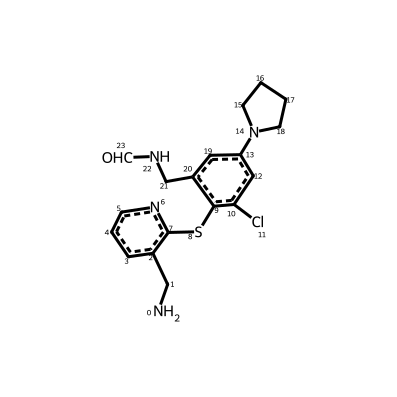 NCc1cccnc1Sc1c(Cl)cc(N2CCCC2)cc1CNC=O